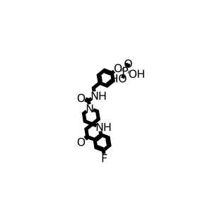 O=C1CC2(CCN(C(=O)NCc3ccc(OP(=O)(O)O)cc3)CC2)Nc2ccc(F)cc21